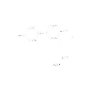 C=C(C)C(=O)OCc1cc(-c2ccc(C)cc2)ccc1CO